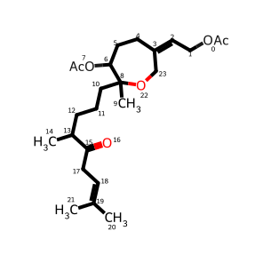 CC(=O)OCC=C1CCC(OC(C)=O)C(C)(CCCC(C)C(=O)CC=C(C)C)OC1